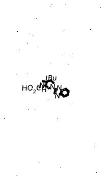 CC(C)(C)C12CCN(c3cnc4ccccc4n3)C[C@H]1N(C(=O)O)C2